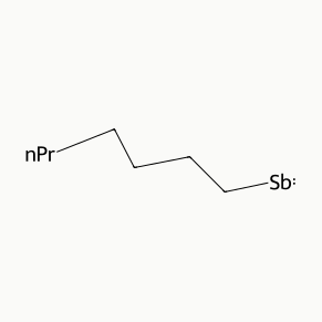 CCCCCC[CH2][Sb]